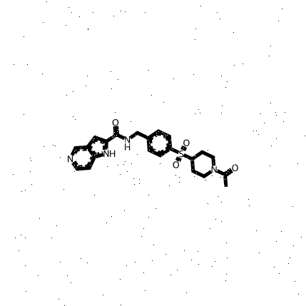 CC(=O)N1CCC(S(=O)(=O)c2ccc(CNC(=O)c3cc4cnccc4[nH]3)cc2)CC1